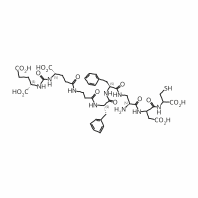 N[C@@H](CNC(=O)[C@H](Cc1ccccc1)NC(=O)[C@H](Cc1ccccc1)NC(=O)CCNC(=O)CC[C@H](NC(=O)N[C@@H](CCC(=O)O)C(=O)O)C(=O)O)C(=O)NC(CC(=O)O)C(=O)NC(CS)C(=O)O